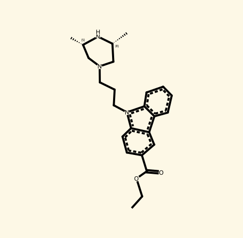 CCOC(=O)c1ccc2c(c1)c1ccccc1n2CCCN1C[C@@H](C)N[C@@H](C)C1